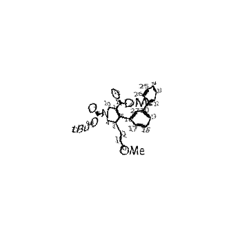 COCCC1CN(C(=O)OC(C)(C)C)CC(C(=O)OC)=C1c1cccc(-c2ccccc2)c1